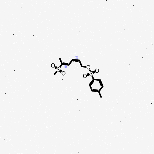 C/C(=C\C=C/COS(=O)(=O)c1ccc(C)cc1)S(C)(=O)=O